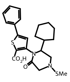 CSN1CC(=O)N(c2cc(-c3ccccc3)sc2C(=O)O)C(C2CCCCC2)C1